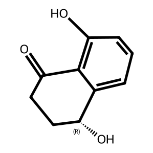 O=C1CC[C@@H](O)c2cccc(O)c21